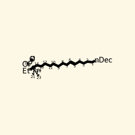 CCCCCCCCCCCCCCC=CCCCCCCCCC(CC)(P(=O)=O)[N+](C)(C)C